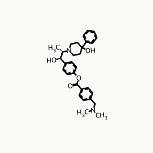 C[C@@H]([C@H](O)c1ccc(OC(=O)c2ccc(CN(C)C)cc2)cc1)N1CCC(O)(c2ccccc2)CC1